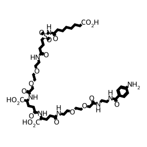 Nc1ccc(C(=O)NCCNC(=O)COCCOCCNC(=O)CCC(NC(=O)CCC(NC(=O)COCCOCCNC(=O)CCCS(=O)(=O)NC(=O)CCCCCCC(=O)O)C(=O)O)C(=O)O)cc1